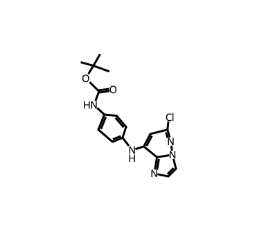 CC(C)(C)OC(=O)Nc1ccc(Nc2cc(Cl)nn3ccnc23)cc1